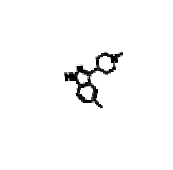 Cc1ccc2[nH]nc(C3CCN(C)CC3)c2c1